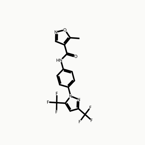 Cc1oncc1C(=O)Nc1ccc(-n2nc(C(F)(F)F)cc2C(F)(F)F)cc1